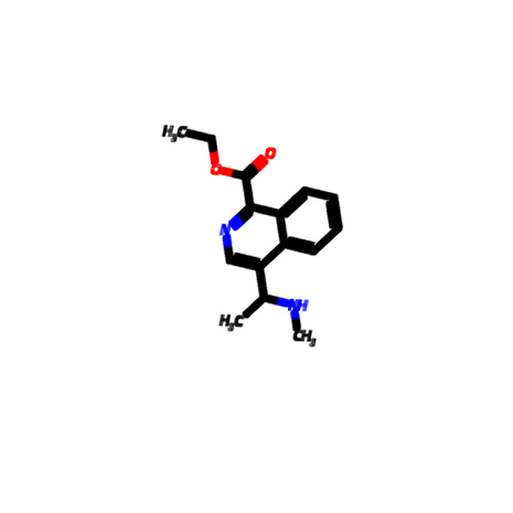 CCOC(=O)c1ncc(C(C)NC)c2ccccc12